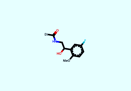 CCC(=O)NCC(O)c1cc(F)ccc1OC